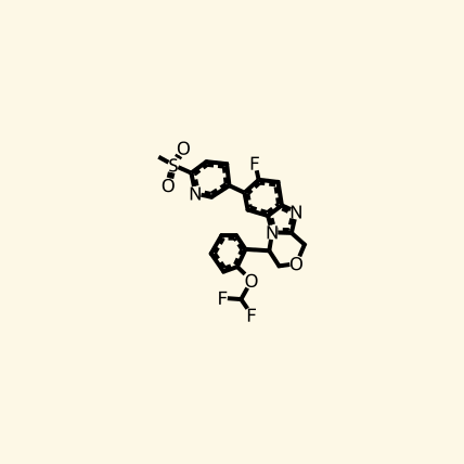 CS(=O)(=O)c1ccc(-c2cc3c(cc2F)nc2n3C(c3ccccc3OC(F)F)COC2)cn1